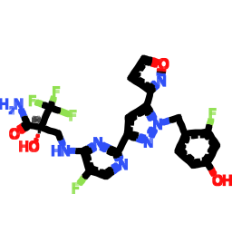 NC(=O)[C@](O)(CNc1nc(-c2cc(-c3ccon3)n(Cc3ccc(O)cc3F)n2)ncc1F)C(F)(F)F